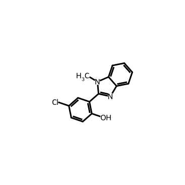 Cn1c(-c2cc(Cl)ccc2O)nc2ccccc21